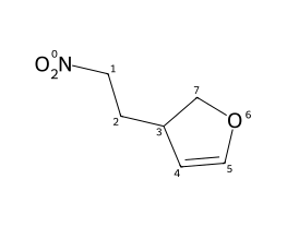 O=[N+]([O-])CCC1C=COC1